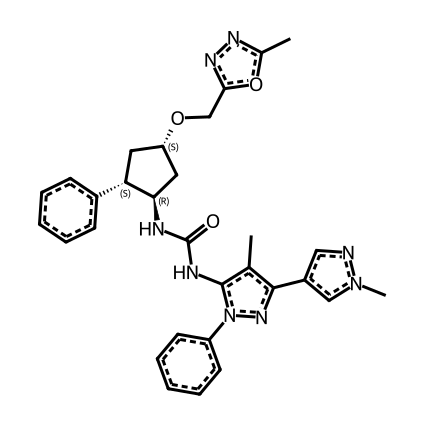 Cc1nnc(CO[C@@H]2C[C@@H](NC(=O)Nc3c(C)c(-c4cnn(C)c4)nn3-c3ccccc3)[C@H](c3ccccc3)C2)o1